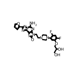 Nc1nc2c(sc(=O)n2CCN2CCN(c3cc(OCC(O)CO)c(F)cc3F)CC2)c2nc(-c3ccco3)nn12